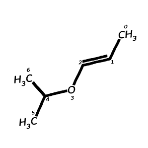 C/C=C/OC(C)C